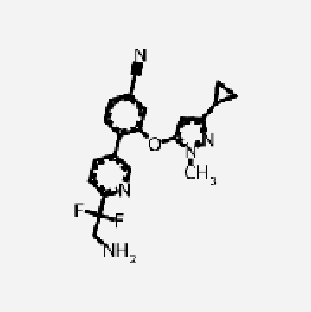 Cn1nc(C2CC2)cc1Oc1cc(C#N)ccc1-c1ccc(C(F)(F)CN)nc1